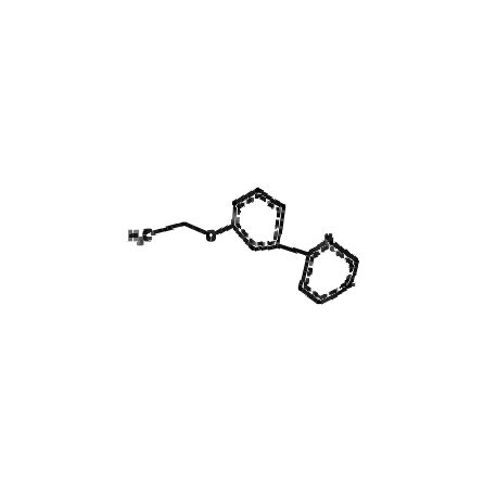 CCOc1cccc(-c2cc[c]cn2)c1